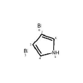 [B].[B].c1cc[nH]c1